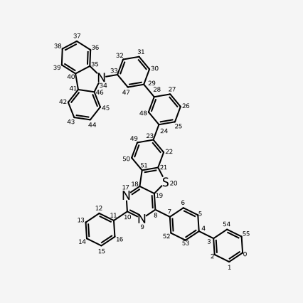 c1ccc(-c2ccc(-c3nc(-c4ccccc4)nc4c3sc3cc(-c5cccc(-c6cccc(-n7c8ccccc8c8ccccc87)c6)c5)ccc34)cc2)cc1